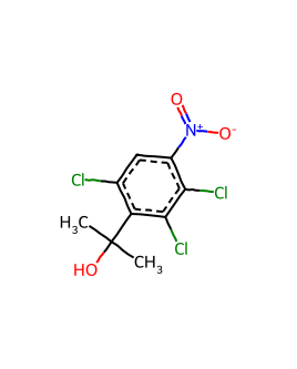 CC(C)(O)c1c(Cl)cc([N+](=O)[O-])c(Cl)c1Cl